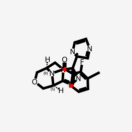 Cc1cccc(C(=O)N2[C@H]3COC[C@@H]2c2nnc(-c4cnccn4)n2C3)c1F